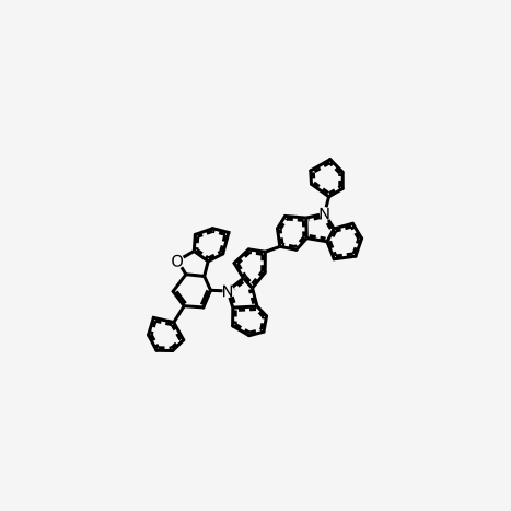 C1=C(c2ccccc2)C=C(n2c3ccccc3c3cc(-c4ccc5c(c4)c4ccccc4n5-c4ccccc4)ccc32)C2c3ccccc3OC12